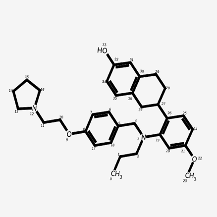 CCCN(Cc1ccc(OCCN2CCCC2)cc1)c1cc(OC)ccc1C1CCc2cc(O)ccc2C1